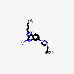 CCCCc1nc2c(N)nc3cc(N4CCN(CCC)CC4)ccc3c2[nH]1